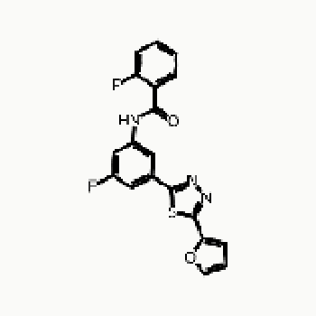 O=C(Nc1cc(F)cc(-c2nnc(-c3ccco3)s2)c1)c1ccccc1F